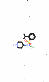 CC(C)c1ccccc1S(=O)(=O)NC1CCNCC1.Cl